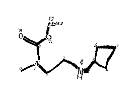 CN(CCNC1CCC1)C(=O)OC(C)(C)C